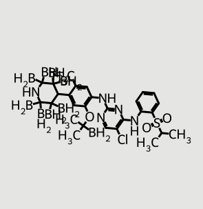 BC(C)(C)Oc1cc(C2C(B)(B)C(B)(B)NC(B)(B)C2(B)B)c(C)cc1Nc1ncc(Cl)c(Nc2ccccc2S(=O)(=O)C(C)C)n1